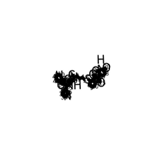 CN(CCCCSc1cccc2c1C(=O)N(C1CCC(=O)NC1=O)C2=O)CC(=O)NC(c1cccnc1)c1cc2ccccc2o1